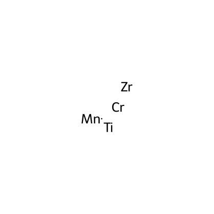 [Cr].[Mn].[Ti].[Zr]